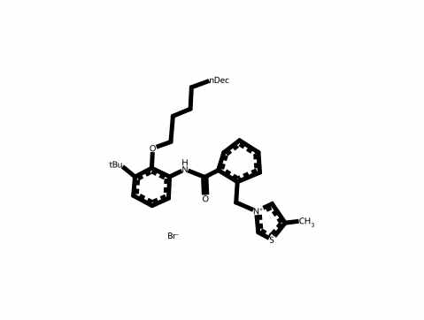 CCCCCCCCCCCCCCOc1c(NC(=O)c2ccccc2C[n+]2csc(C)c2)cccc1C(C)(C)C.[Br-]